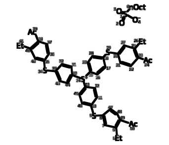 CCCCCCCCS(=O)(=O)[O-].CCc1cc(Sc2ccc([S+](c3ccc(Sc4ccc(C(C)=O)c(CC)c4)cc3)c3ccc(Sc4ccc(C(C)=O)c(CC)c4)cc3)cc2)ccc1C(C)=O